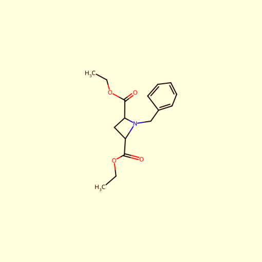 CCOC(=O)C1CC(C(=O)OCC)N1Cc1ccccc1